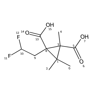 CC1(C)C(C)(C(=O)O)C1(CC(F)F)C(=O)O